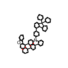 c1ccc(-c2ccc(-c3ccccc3N(c3ccc(-c4cccc5c4-c4ccccc4C5(c4ccccc4)c4ccccc4)cc3)c3ccc(-c4cccc5oc6ccccc6c45)cc3)cc2)cc1